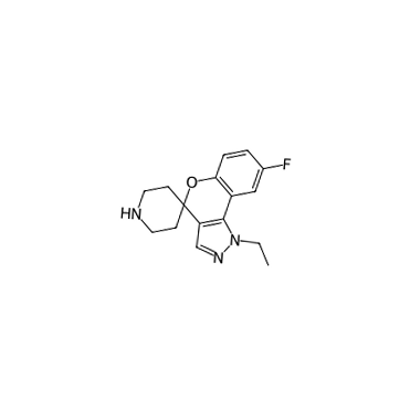 CCn1ncc2c1-c1cc(F)ccc1OC21CCNCC1